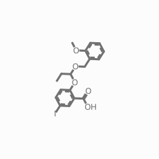 CCC(OCc1ccccc1OC)Oc1ccc(I)cc1C(=O)O